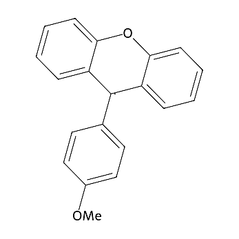 COc1ccc([C]2c3ccccc3Oc3ccccc32)cc1